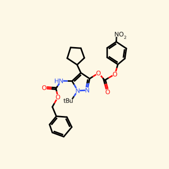 CC(C)(C)n1nc(OC(=O)Oc2ccc([N+](=O)[O-])cc2)c(C2CCCC2)c1NC(=O)OCc1ccccc1